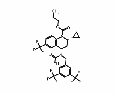 CCCOC(=O)N1c2ccc(C(F)(F)F)cc2[C@@H](N(Cc2cc(C(F)(F)F)cc(C(F)(F)F)c2)C(C)=O)C[C@H]1C1CC1